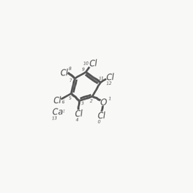 ClOc1c(Cl)c(Cl)c(Cl)c(Cl)c1Cl.[Ca]